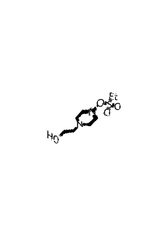 CCS(=O)(=O)ON1CCN(CCO)CC1